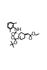 CCOC(=O)C=C1CCN(C(=O)OC(C)(C)C)[C@H](C(=O)Nc2c(C)cccc2C)C1